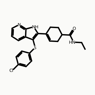 CCNC(=O)C1CC=C(c2[nH]c3ncccc3c2Sc2ccc(Cl)cc2)CC1